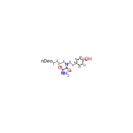 CCCCCCCCCCCCCCN(CCc1ccc(O)cc1)C(=O)C(N)=O